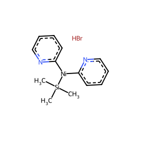 Br.C[Si](C)(C)[Ni]([c]1ccccn1)[c]1ccccn1